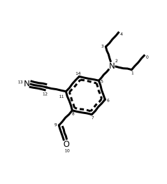 CCN(CC)c1ccc(C=O)c(C#N)c1